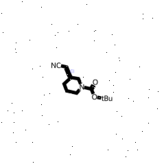 CC(C)(C)OC(=O)N1CCC/C(=C\C#N)C1